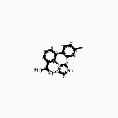 Cc1ccc(-c2cccc(C(=O)O)c2-n2cncn2)cc1